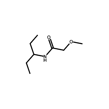 CCC(CC)NC(=O)COC